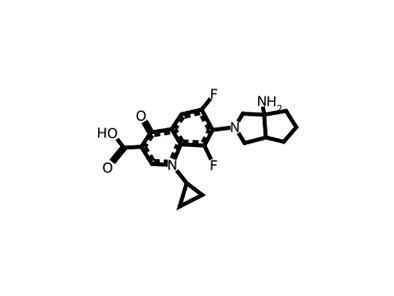 NC12CCCC1CN(c1c(F)cc3c(=O)c(C(=O)O)cn(C4CC4)c3c1F)C2